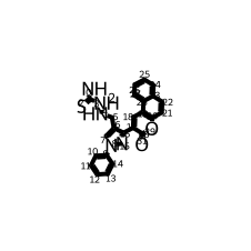 NC(=S)NNCc1cn(-c2ccccc2)nc1-c1cc2c(ccc3ccccc32)oc1=O